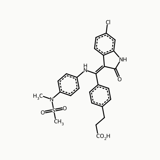 CN(c1ccc(NC(=C2C(=O)Nc3cc(Cl)ccc32)c2ccc(CCC(=O)O)cc2)cc1)S(C)(=O)=O